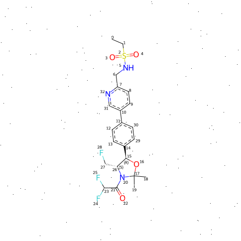 CCS(=O)(=O)NCc1ccc(-c2ccc([C@H]3OC(C)(C)N(C(=O)C(F)F)[C@@H]3CF)cc2)cn1